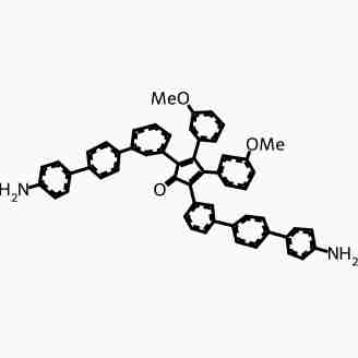 COc1cccc(C2=C(c3cccc(-c4ccc(-c5ccc(N)cc5)cc4)c3)C(=O)C(c3cccc(-c4ccc(-c5ccc(N)cc5)cc4)c3)=C2c2cccc(OC)c2)c1